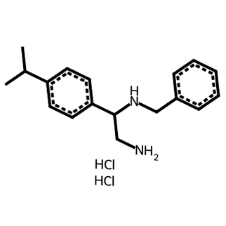 CC(C)c1ccc(C(CN)NCc2ccccc2)cc1.Cl.Cl